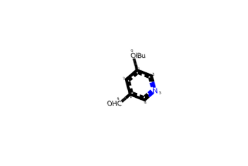 CC(C)COc1cncc(C=O)c1